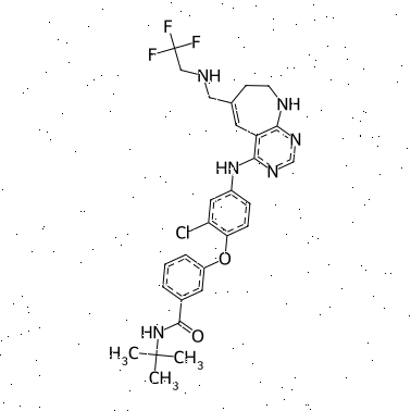 CC(C)(C)NC(=O)c1cccc(Oc2ccc(Nc3ncnc4c3C=C(CNCC(F)(F)F)CCN4)cc2Cl)c1